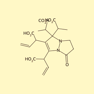 C=CC(C(=O)O)C1=C(C(C=C)C(=O)O)C(C(C)C(=O)O)(C(C)C(=O)O)N2CCC(=O)N12